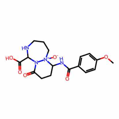 COc1ccc(C(=O)NC2CCC(=O)N3C(C(=O)O)NCCC[N+]23[O-])cc1